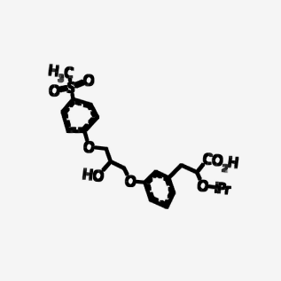 CC(C)OC(Cc1cccc(OCC(O)COc2ccc(S(C)(=O)=O)cc2)c1)C(=O)O